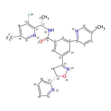 Cc1ccc(-c2cc(C(=O)N[C@@H](C)c3ncc(C(F)(F)F)cc3F)cc(C3=NO[C@H](c4ccccn4)C3)c2)nc1